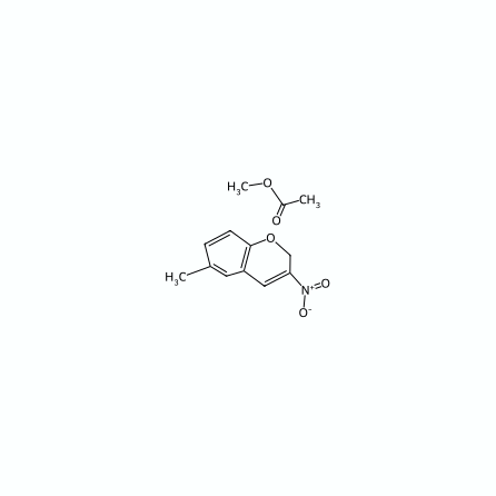 COC(C)=O.Cc1ccc2c(c1)C=C([N+](=O)[O-])CO2